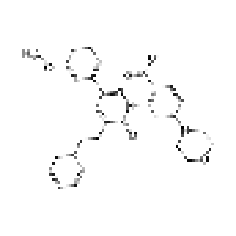 COc1cccc(-c2cc(CCc3ccccc3)c(=O)n(-c3cc(N4CCOCC4)ccc3[N+](=O)[O-])n2)c1